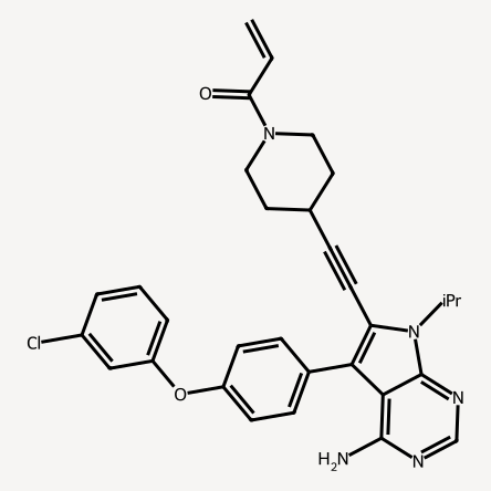 C=CC(=O)N1CCC(C#Cc2c(-c3ccc(Oc4cccc(Cl)c4)cc3)c3c(N)ncnc3n2C(C)C)CC1